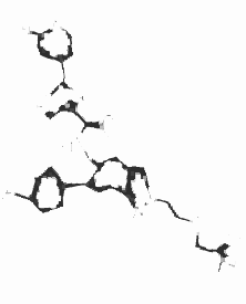 NC(=O)COCCn1cc2cc(NC(=O)c3csc(-c4ccnc(N)c4)n3)c(-c3ccc(F)cc3)cc2n1